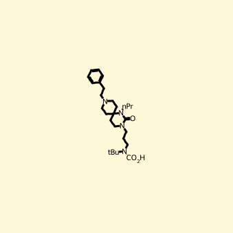 CCCN1C(=O)N(CCCN(C(=O)O)C(C)(C)C)CCC12CCN(CCc1ccccc1)CC2